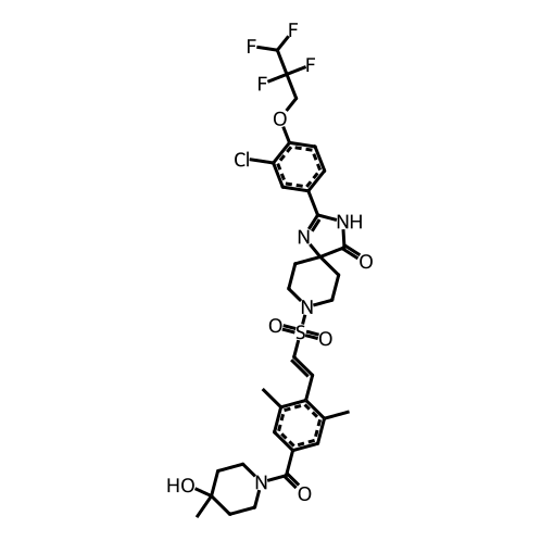 Cc1cc(C(=O)N2CCC(C)(O)CC2)cc(C)c1C=CS(=O)(=O)N1CCC2(CC1)N=C(c1ccc(OCC(F)(F)C(F)F)c(Cl)c1)NC2=O